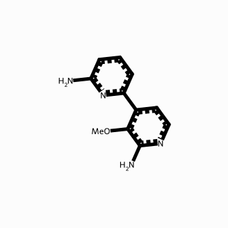 COc1c(-c2cccc(N)n2)ccnc1N